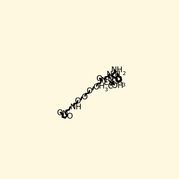 CCN(Cc1nc2c(N)nc3ccccc3c2n1CC(C)(C)O)C(=O)CCOCCOCCOCCOCCNCCCN1C(=O)C=CC1=O